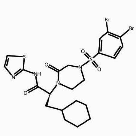 O=C(Nc1nccs1)[C@H](CC1CCCCC1)N1CCN(S(=O)(=O)c2ccc(Br)c(Br)c2)CC1=O